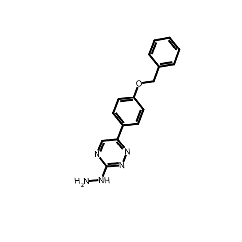 NNc1ncc(-c2ccc(OCc3ccccc3)cc2)nn1